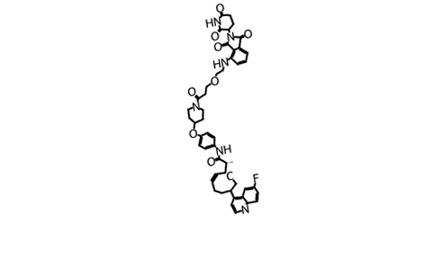 C[C@@H](C(=O)Nc1ccc(OC2CCN(C(=O)CCOCCNc3cccc4c3C(=O)N(C3CCC(=O)NC3=O)C4=O)CC2)cc1)C1C#CCCC(c2ccnc3ccc(F)cc23)CC1